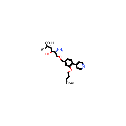 COCCCOc1cc(COCC(N)C(O)CC(C(=O)O)C(C)C)ccc1-c1ccncc1